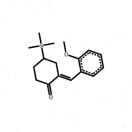 COc1ccccc1C=C1CC([Si](C)(C)C)CCC1=O